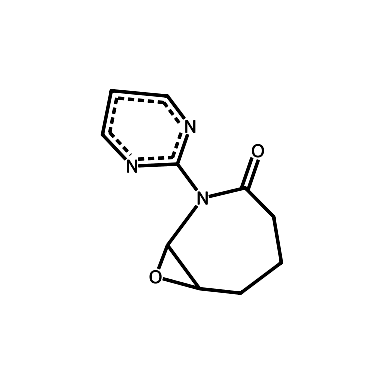 O=C1CCCC2OC2N1c1ncccn1